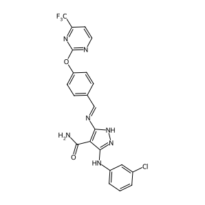 NC(=O)c1c(Nc2cccc(Cl)c2)n[nH]c1/N=C/c1ccc(Oc2nccc(C(F)(F)F)n2)cc1